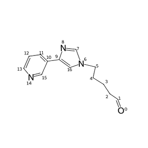 O=CCCCCn1cnc(-c2cccnc2)c1